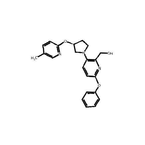 Cc1ccc(O[C@H]2CCN(c3ccc(Oc4ccccc4)nc3CO)C2)nc1